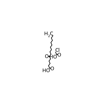 C=CCCCCCCCCC(=O)CCCCC(=O)O.O=C(O)CCl